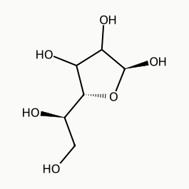 OC[C@@H](O)[C@H]1O[C@H](O)C(O)C1O